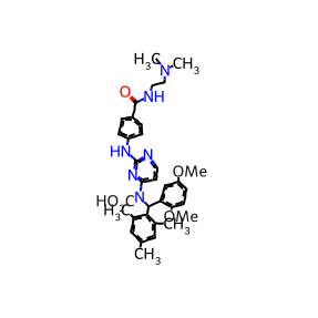 COc1ccc(OC)c(C(c2c(C)cc(C)cc2C)N(C(=O)O)c2ccnc(Nc3ccc(C(=O)NCCN(C)C)cc3)n2)c1